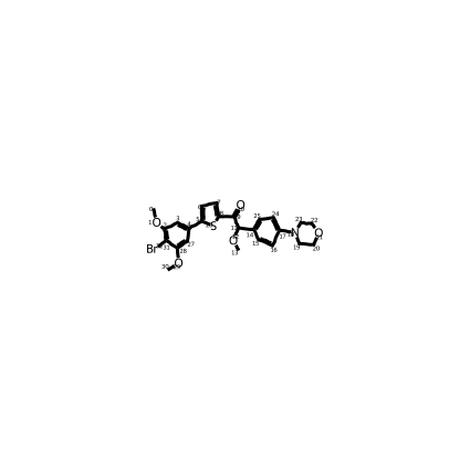 COc1cc(-c2ccc(C(=O)C(OC)c3ccc(N4CCOCC4)cc3)s2)cc(OC)c1Br